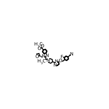 COC(=O)c1ccc2nc(C(C)N3CCC(c4nccc(OCc5ccc(C#N)cc5F)n4)CC3)n(C[C@@H]3CCO3)c2c1